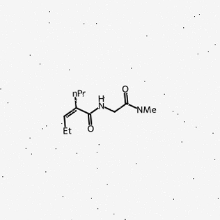 CCC=C(CCC)C(=O)NCC(=O)NC